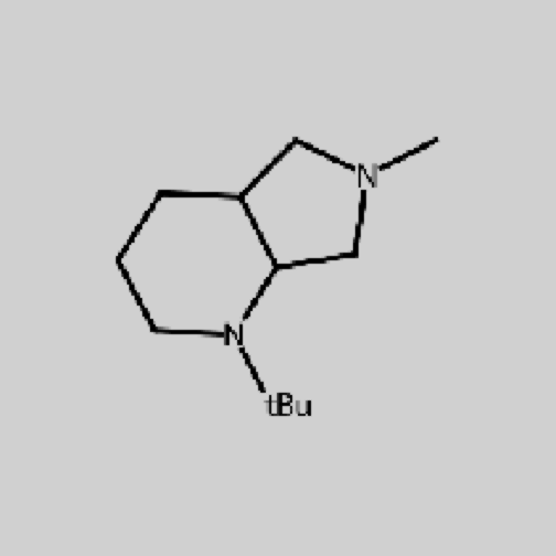 CN1CC2CCCN(C(C)(C)C)C2C1